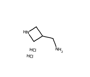 Cl.Cl.NCC1CNC1